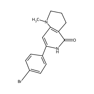 CN1CCCc2c1cc(-c1ccc(Br)cc1)[nH]c2=O